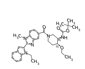 CCO[C@H]1CCN(C(=O)c2ccc3c(c2)nc(-c2cc4ccccc4n2CC)n3C)C[C@H]1NC(=O)OC(C)(C)C